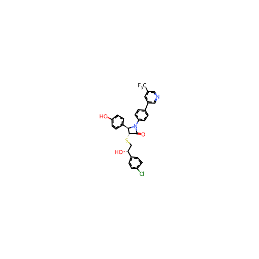 O=C1[C@H](SC[C@@H](O)c2ccc(Cl)cc2)[C@@H](c2ccc(O)cc2)N1c1ccc(-c2cncc(C(F)(F)F)c2)cc1